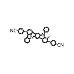 Cc1c(-c2ccc(C#N)cc2)ccc2c3cc4c(cc3n(-c3ccccc3)c12)c1ccc(-c2ccc(C#N)cc2)c2c3ccccc3n4c12